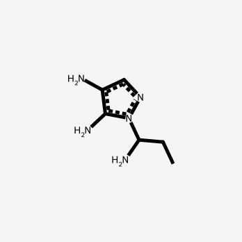 CCC(N)n1ncc(N)c1N